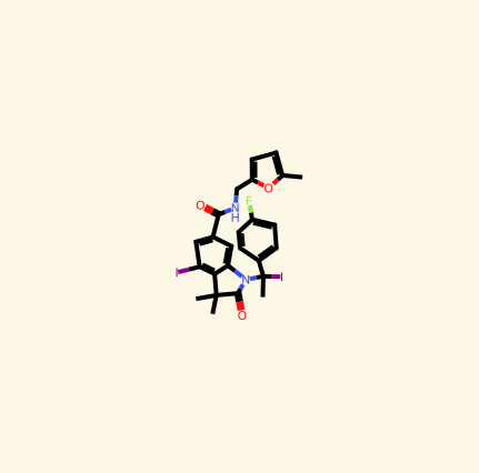 Cc1ccc(CNC(=O)c2cc(I)c3c(c2)N(C(C)(I)c2ccc(F)cc2)C(=O)C3(C)C)o1